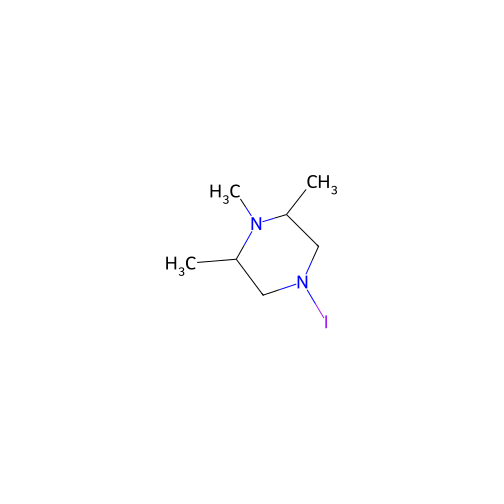 CC1CN(I)CC(C)N1C